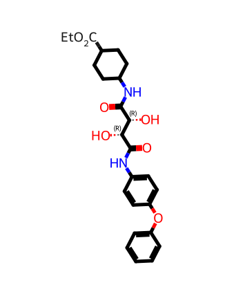 CCOC(=O)C1CCC(NC(=O)[C@H](O)[C@@H](O)C(=O)Nc2ccc(Oc3ccccc3)cc2)CC1